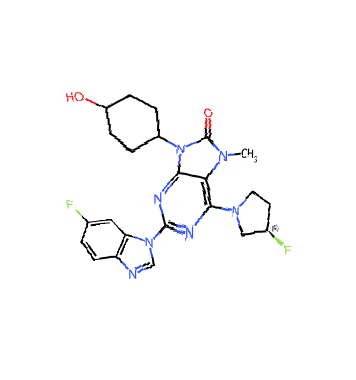 Cn1c(=O)n(C2CCC(O)CC2)c2nc(-n3cnc4ccc(F)cc43)nc(N3CC[C@@H](F)C3)c21